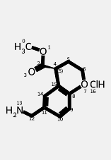 COC(=O)[C@H]1CCOc2ccc(CN)cc21.Cl